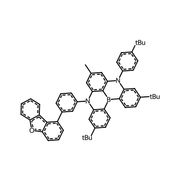 Cc1cc2c3c(c1)N(c1cccc(-c4cccc5oc6ccccc6c45)c1)c1cc(C(C)(C)C)ccc1B3c1ccc(C(C)(C)C)cc1N2c1ccc(C(C)(C)C)cc1